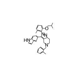 Cc1ccccc1CN1CCc2nn(-c3c(C)cccc3OCC(C)C)c(-c3ccc4[nH]ccc4c3)c2C1